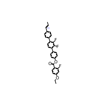 C/C=C/c1ccc(-c2ccc(-c3ccc(OC(=O)c4ccc(OCC)cc4F)cc3)c(F)c2F)cc1